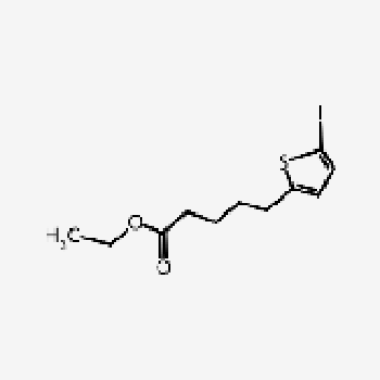 CCOC(=O)CCCCc1ccc(I)s1